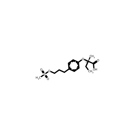 CC[C@](C)(Oc1ccc(CCCOS(C)(=O)=O)cc1)C(=O)O